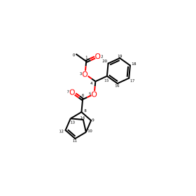 CC(=O)OC(OC(=O)C1CC2C=CC1C2)c1ccccc1